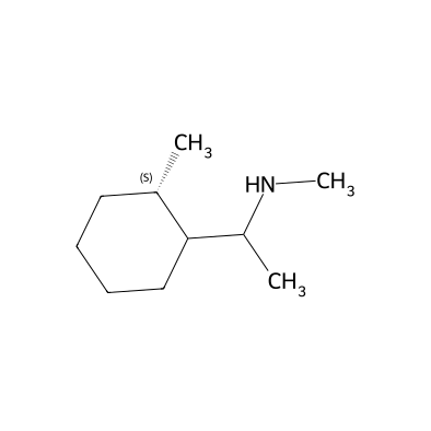 CNC(C)C1CCCC[C@@H]1C